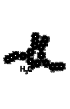 CCn1c2ccc(N(c3ccc(-c4ccc5cc6ccccc6cc5c4)cc3)c3ccc(-c4ccc5cc6ccccc6cc5c4)cc3)cc2c2cc(N(c3ccc(-c4ccc5cc6ccccc6cc5c4)cc3)c3ccc(-c4ccc5cc6ccccc6cc5c4)cc3)ccc21